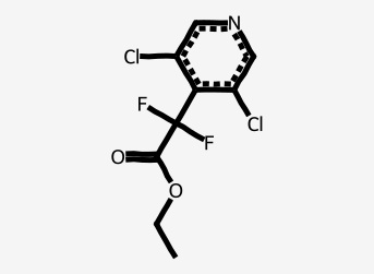 CCOC(=O)C(F)(F)c1c(Cl)cncc1Cl